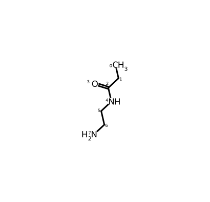 CCC(=O)NCCN